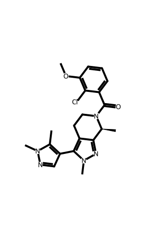 COc1cccc(C(=O)N2CCc3c(nn(C)c3-c3cnn(C)c3C)[C@@H]2C)c1Cl